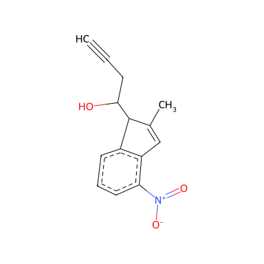 C#CCC(O)C1C(C)=Cc2c1cccc2[N+](=O)[O-]